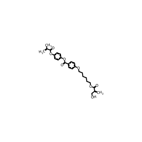 C=C(C)C(=O)Oc1ccc(OC(=O)c2ccc(OCCCCCCOC(=O)C(=C)CO)cc2)cc1